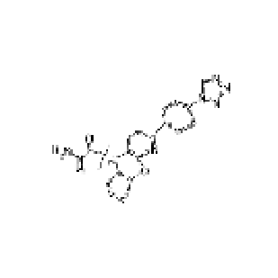 CC(C)(C(=O)NN)[C@H]1c2ccccc2Oc2nc(-c3ccc(-n4cnnn4)cc3)ccc21